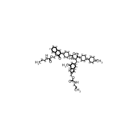 C=CCNC(=O)OCn1cc2cc(CC(NC(=O)N3CCC(c4cc5ccccc5n(COC(=O)NCC=C)c4=O)CC3)C(=O)N3CCN(C4CCN(C)CC4)CC3)cc(C)c2n1